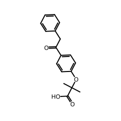 CC(C)(Oc1ccc(C(=O)Cc2ccccc2)cc1)C(=O)O